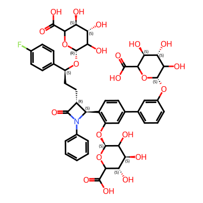 O=C(O)C1O[C@@H](Oc2cccc(-c3ccc([C@@H]4[C@@H](CC[C@H](O[C@@H]5OC(C(=O)O)[C@@H](O)[C@H](O)C5O)c5ccc(F)cc5)C(=O)N4c4ccccc4)c(O[C@@H]4OC(C(=O)O)[C@@H](O)[C@H](O)C4O)c3)c2)C(O)[C@@H](O)[C@@H]1O